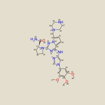 COc1cc(-n2cnc(Nc3nc(N4CCC[C@H]4C(N)=O)nn4c(CN5CCNCC5)ccc34)c2)cc(OC)c1OC